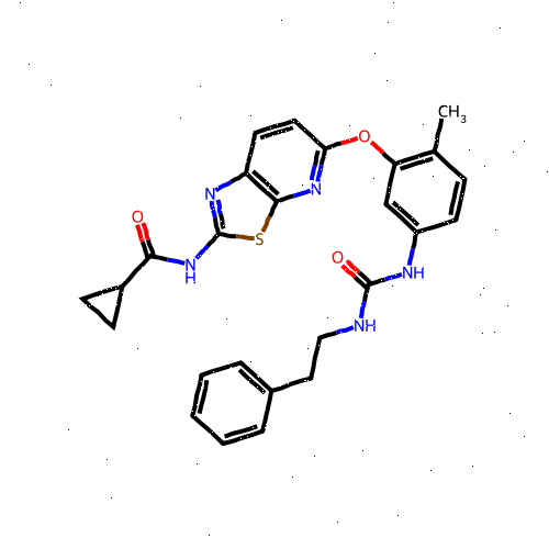 Cc1ccc(NC(=O)NCCc2ccccc2)cc1Oc1ccc2nc(NC(=O)C3CC3)sc2n1